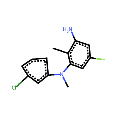 Cc1c(N)cc(F)cc1N(C)c1cccc(Cl)c1